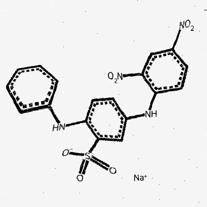 O=[N+]([O-])c1ccc(Nc2ccc(Nc3ccccc3)c(S(=O)(=O)[O-])c2)c([N+](=O)[O-])c1.[Na+]